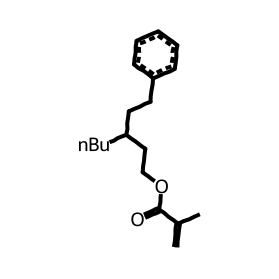 C=C(C)C(=O)OCCC(CCCC)CCc1ccccc1